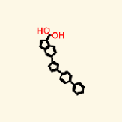 OC(O)C1C=Cc2cc(C3=CC(c4ccc(-c5ccccc5)cc4)=CC3)ccc21